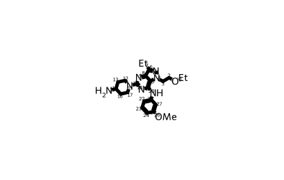 CCOCCn1nc(CC)c2nc(N3CCC(N)CC3)nc(Nc3cccc(OC)c3)c21